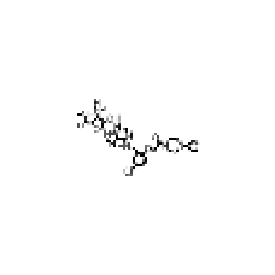 CNC(=O)[C@H]1O[C@@H](n2cnc3c(NCc4cc(Cl)ccc4OCC(=O)N4CCN(C5CCCC5)CC4)ncnc32)[C@H](O)[C@@H]1N